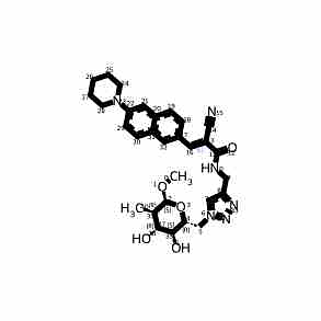 CO[C@H]1O[C@H](Cn2cc(CNC(=O)/C(C#N)=C/c3ccc4cc(N5CCCCC5)ccc4c3)nn2)[C@@H](O)[C@H](O)[C@H]1C